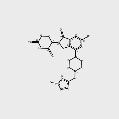 Cn1ccc(CN2CCC(c3cc(F)cc4c3CN(C3CCC(=O)NC3=O)C4=O)CC2)n1